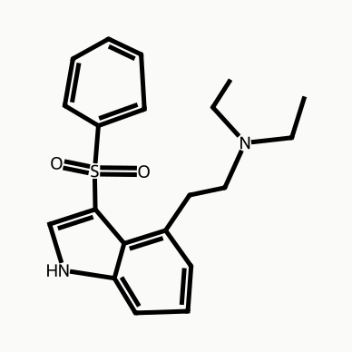 CCN(CC)CCc1cccc2[nH]cc(S(=O)(=O)c3ccccc3)c12